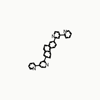 c1ccc(-c2ccnc(-c3ccc4c(ccc5cc(-c6cc(-c7ccccn7)ccn6)ccc54)c3)c2)nc1